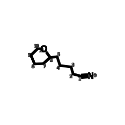 N#CCCCCC1CCCCO1